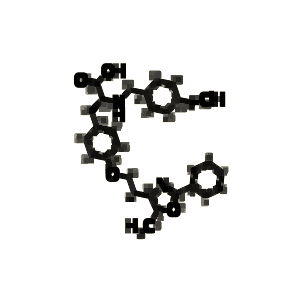 Cc1oc(-c2ccccc2)nc1CCOc1ccc(C[C@H](NCc2ccc(F)cc2)C(=O)O)cc1.Cl